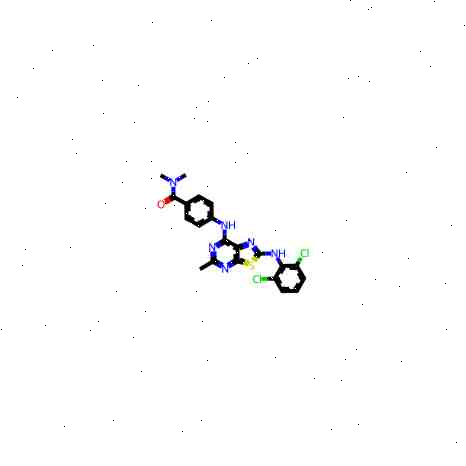 Cc1nc(Nc2ccc(C(=O)N(C)C)cc2)c2nc(Nc3c(Cl)cccc3Cl)sc2n1